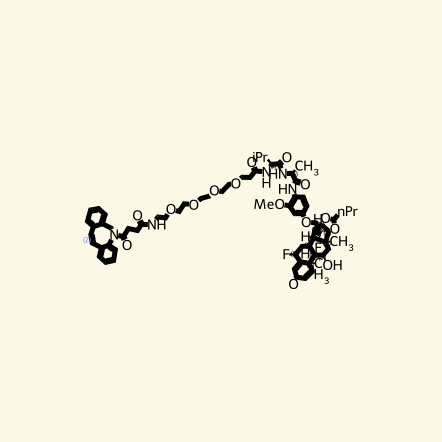 CCCC1O[C@@H]2C[C@H]3[C@@H]4C[C@H](F)C5=CC(=O)C=C[C@]5(C)[C@@]4(F)[C@@H](O)C[C@]3(C)[C@]2(C(=O)COc2ccc(NC(=O)[C@H](C)NC(=O)[C@@H](NC(=O)CCOCCOCCOCCOCCNC(=O)CCC(=O)N3Cc4ccccc4/C=C\c4ccccc43)C(C)C)c(OC)c2)O1